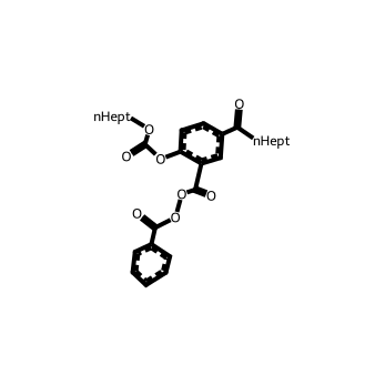 CCCCCCCOC(=O)Oc1ccc(C(=O)CCCCCCC)cc1C(=O)OOC(=O)c1ccccc1